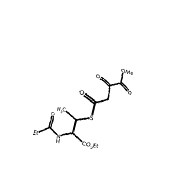 CCOC(=O)C(NC(=O)CC)C(C)SC(=O)CC(=O)C(=O)OC